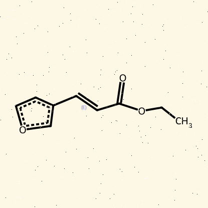 CCOC(=O)/C=C/c1ccoc1